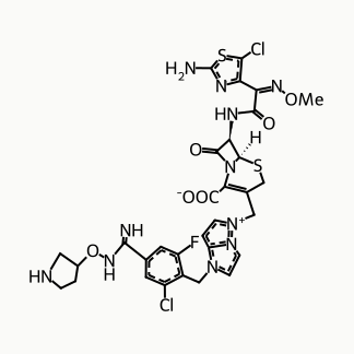 CO/N=C(\C(=O)N[C@@H]1C(=O)N2C(C(=O)[O-])=C(C[n+]3ccc4n(Cc5c(F)cc(C(=N)NOC6CCNC6)cc5Cl)ccn43)CS[C@H]12)c1nc(N)sc1Cl